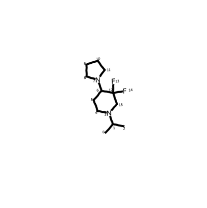 CC(C)N1CCC(N2CCCC2)C(F)(F)C1